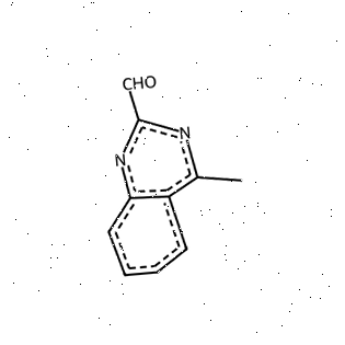 Cc1nc(C=O)nc2ccccc12